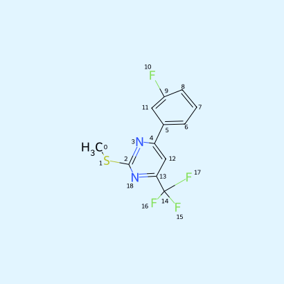 CSc1nc(-c2cccc(F)c2)cc(C(F)(F)F)n1